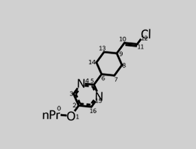 CCCOc1cnc(C2CCC(/C=C/Cl)CC2)nc1